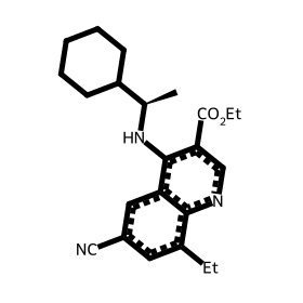 CCOC(=O)c1cnc2c(CC)cc(C#N)cc2c1N[C@H](C)C1CCCCC1